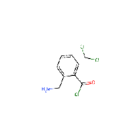 ClCCl.NCc1ccccc1C(=O)Cl